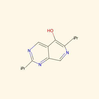 CC(C)c1ncc2c(O)c(C(C)C)ncc2n1